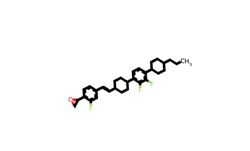 CCCC1CCC(c2ccc(C3CCC(/C=C/c4ccc(C5CO5)c(F)c4)CC3)c(F)c2F)CC1